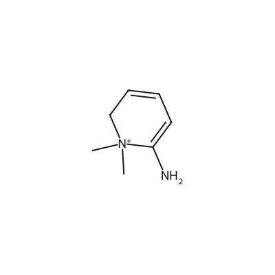 C[N+]1(C)CC=CC=C1N